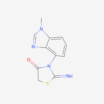 Cn1cnc2c(N3C(=N)SCC3=O)cccc21